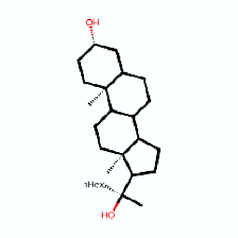 CCCCCC[C@](C)(O)C1CCC2C3CCC4C[C@@H](O)CC[C@]4(C)C3CC[C@@]21C